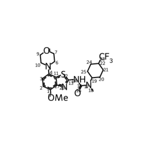 COc1ccc(N2CCOCC2)c2sc(NC(=O)N(C)C3CCC(C(F)(F)F)CC3)nc12